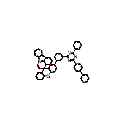 c1ccc(-c2ccc(-c3nc(-c4ccccc4)nc(-c4cccc(-c5ccc6c(c5)C5(c7ccccc7S6)c6ccccc6-n6c7ccccc7c7cccc5c76)c4)n3)cc2)cc1